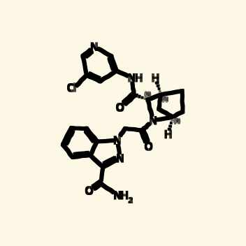 NC(=O)c1nn(CC(=O)N2[C@@H]3CC[C@@H](C3)[C@H]2C(=O)Nc2cncc(Cl)c2)c2ccccc12